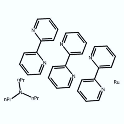 CCCN(CCC)CCC.[Ru].c1ccc(-c2ccccn2)nc1.c1ccc(-c2ccccn2)nc1.c1ccc(-c2ccccn2)nc1